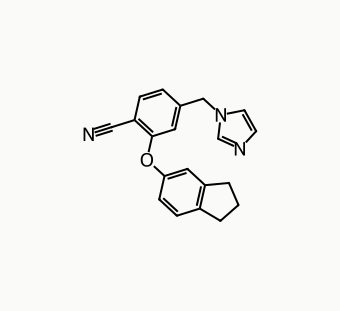 N#Cc1ccc(Cn2ccnc2)cc1Oc1ccc2c(c1)CCC2